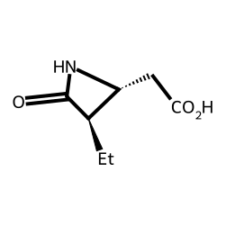 CC[C@H]1C(=O)N[C@@H]1CC(=O)O